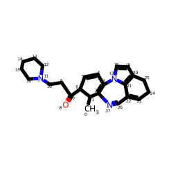 CC1C2=C(C=CC1C(=O)CCN1CCCCC1)n1ccc3c1C(=CCC3)C=N2